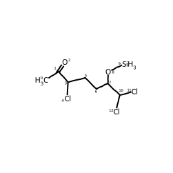 CC(=O)C(Cl)CCC(O[SiH3])C(Cl)Cl